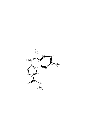 CC(C)(C)OC(=O)c1ccc([AsH]C(C(=O)O)c2ccc(C(C)(C)C)cc2)cc1